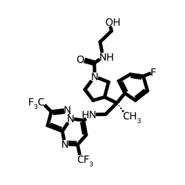 C[C@@](CNc1cc(C(F)(F)F)nc2cc(C(F)(F)F)nn12)(c1ccc(F)cc1)C1CCN(C(=O)NCCO)C1